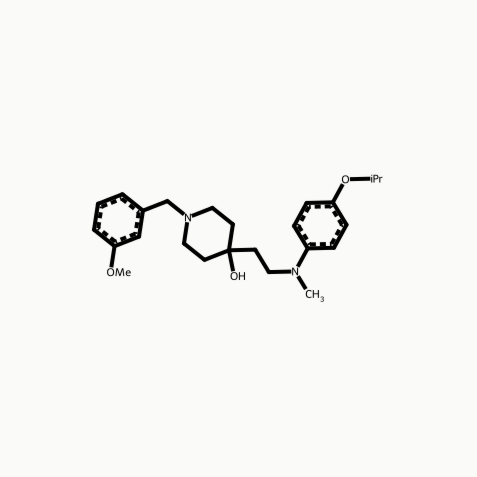 COc1cccc(CN2CCC(O)(CCN(C)c3ccc(OC(C)C)cc3)CC2)c1